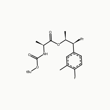 Cc1cc([C@H](C(C)C)[C@H](C)OC(=O)[C@H](C)NC(=O)OC(C)(C)C)ccc1F